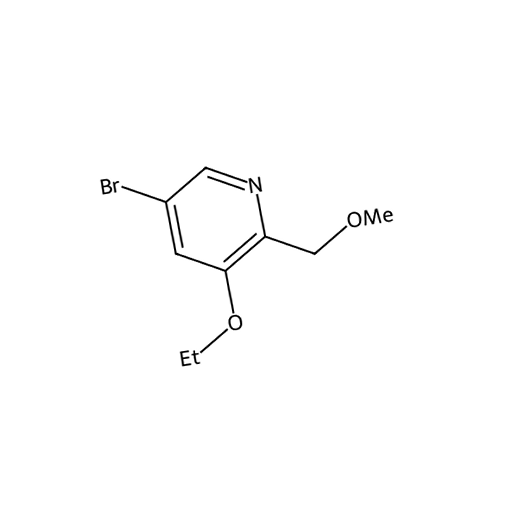 CCOc1cc(Br)cnc1COC